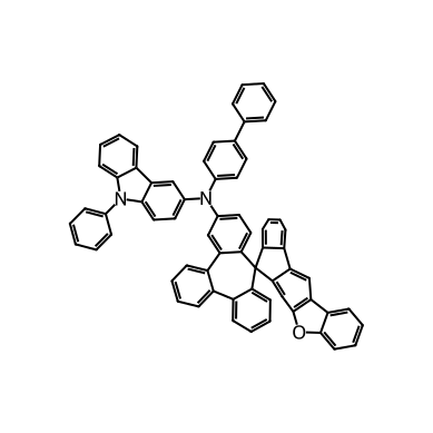 c1ccc(-c2ccc(N(c3ccc4c(c3)-c3ccccc3-c3ccccc3C43c4ccccc4-c4cc5c(cc43)oc3ccccc35)c3ccc4c(c3)c3ccccc3n4-c3ccccc3)cc2)cc1